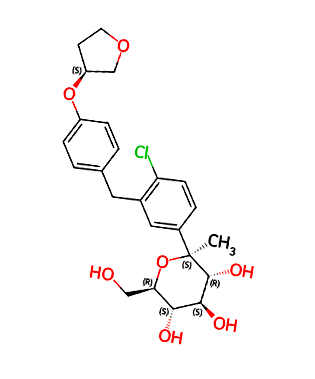 C[C@@]1(c2ccc(Cl)c(Cc3ccc(O[C@H]4CCOC4)cc3)c2)O[C@H](CO)[C@@H](O)[C@H](O)[C@H]1O